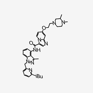 CCC(C)c1cccc(Cn2nc(C)c3c(NC(=O)c4cnc5cc(OCCN6CCN(C)C(C)C6)ccn45)cccc32)n1